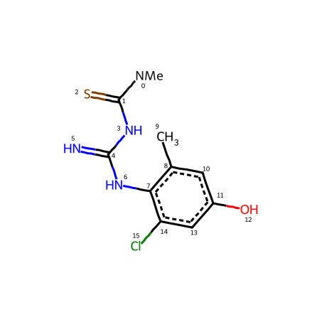 CNC(=S)NC(=N)Nc1c(C)cc(O)cc1Cl